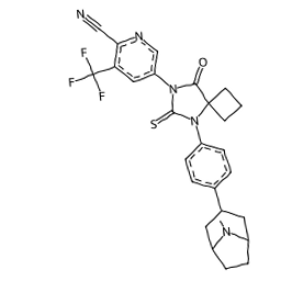 CN1C2CCC1CC(c1ccc(N3C(=S)N(c4cnc(C#N)c(C(F)(F)F)c4)C(=O)C34CCC4)cc1)C2